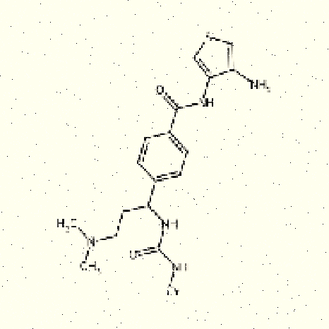 CC(C)NC(=O)NC(CCN(C)C)c1ccc(C(=O)Nc2cscc2N)cc1